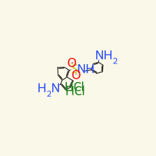 Cl.Cl.Nc1cccc(CNS(=O)(=O)c2cccc3c(N)cccc23)c1